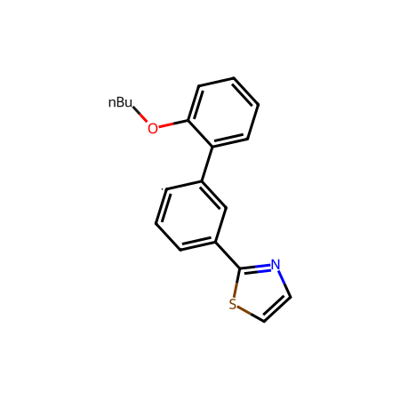 CCCCOc1ccccc1-c1[c]ccc(-c2nccs2)c1